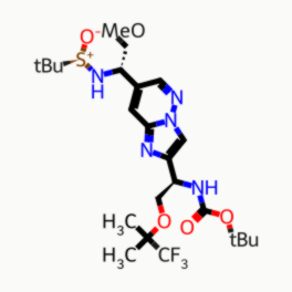 COC[C@@H](N[S@+]([O-])C(C)(C)C)c1cnn2cc([C@H](COC(C)(C)C(F)(F)F)NC(=O)OC(C)(C)C)nc2c1